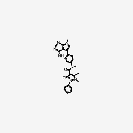 Cc1c(C(=O)Nc2ccc(-c3cn(C)c4ncnc(N)c34)cc2)c(=O)n(-c2ccccc2)n1C